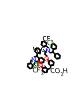 C[C@H](CCOc1cccc(C(C(=O)O)c2cccc(OCC[C@@H](C)N(Cc3cccc(C(F)(F)F)c3Cl)CC(c3ccccc3)c3ccccc3)c2)c1)N(Cc1cccc(C(F)(F)F)c1Cl)CC(c1ccccc1)c1ccccc1